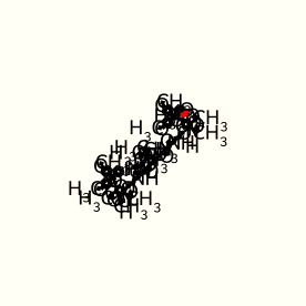 COc1ccc(C(OC[C@H]2O[C@@H](OCCCNC(=O)CNC(=O)OCC(COC(=O)NCC(=O)NCCCO[C@@H]3O[C@H](COC(c4ccccc4)(c4ccc(OC)cc4)c4ccc(OC)cc4)[C@H](OC(C)=O)[C@H](OC(C)=O)[C@H]3NC(C)=O)OP(OCCC#N)N(C(C)C)C(C)C)[C@H](NC(C)=O)[C@@H](OC(C)=O)[C@H]2OC(C)=O)(c2ccccc2)c2ccc(OC)cc2)cc1